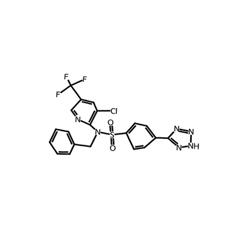 O=S(=O)(c1ccc(-c2nn[nH]n2)cc1)N(Cc1ccccc1)c1ncc(C(F)(F)F)cc1Cl